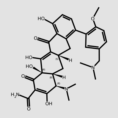 COc1ccc(CN(C)C)cc1-c1ccc(O)c2c1C[C@@H]1C[C@@H]3[C@@H](N(C)C)C(O)=C(C(N)=O)C(=O)[C@]3(O)C(O)=C1C2=O